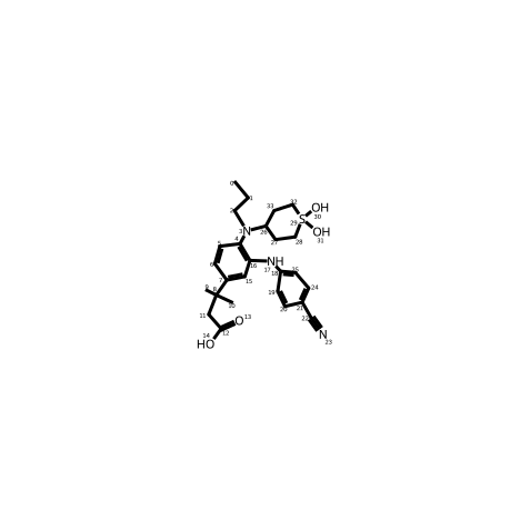 CCCN(c1ccc(C(C)(C)CC(=O)O)cc1Nc1ccc(C#N)cc1)C1CCS(O)(O)CC1